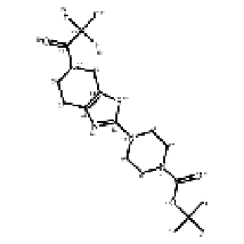 CC(C)(C)OC(=O)N1CCN(c2nc3c(s2)CN(C(=O)C(F)(F)F)CC3)CC1